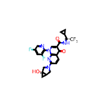 O=C(N[C@H](C1CC1)C(F)(F)F)c1cn(-c2ncc(F)cc2F)c2nc(N3CC4C[C@@]4(O)C3)ccc2c1=O